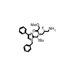 COCC(=O)N(C[C@H](F)CN)[C@@H](c1nc(-c2ccccc2)cn1Cc1ccccc1)C(C)(C)C